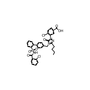 CCCCc1nn(-c2cc(C(=O)O)ccc2Cl)c(=O)n1Cc1ccc(-c2ccccc2S(=O)(=O)NC(=O)c2ccccc2Cl)cc1